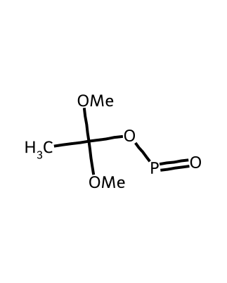 COC(C)(OC)OP=O